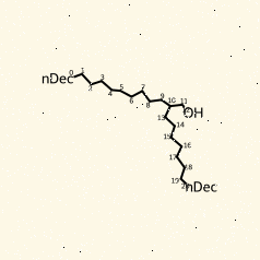 CCCCCCCCCCCCCCCCCCCC(CO)CCCCCCCCCCCCCCCCC